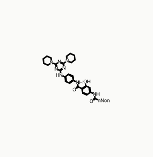 CCCCCCCCCC(=O)Nc1ccc(C(=O)Nc2ccc(Nc3nc(N4CCCCC4)nc(N4CCCCC4)n3)cc2)c(O)c1